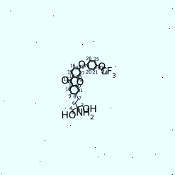 NC(CO)(CO)CCc1ccc2c(=O)c3ccc(Oc4ccc(OC(F)(F)F)cc4)cc3oc2c1